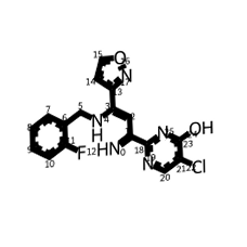 N=C(/C=C(\NCc1ccccc1F)c1ccon1)c1ncc(Cl)c(O)n1